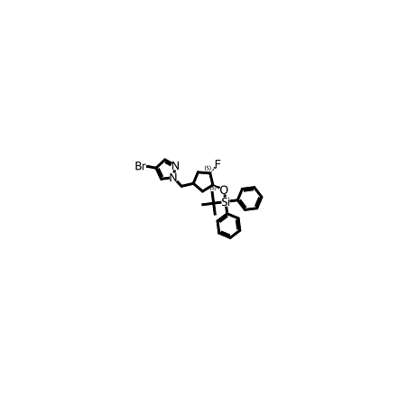 CC(C)(C)[Si](O[C@H]1CC(Cn2cc(Br)cn2)C[C@@H]1F)(c1ccccc1)c1ccccc1